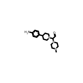 CN1CCN(C(C=O)N2CCC(c3ccc(N)cc3)CC2)CC1